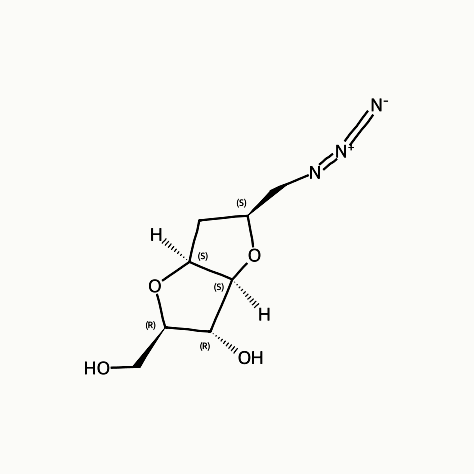 [N-]=[N+]=NC[C@@H]1C[C@@H]2O[C@H](CO)[C@@H](O)[C@@H]2O1